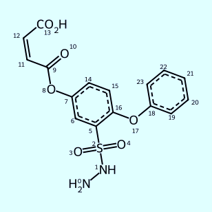 NNS(=O)(=O)c1cc(OC(=O)/C=C\C(=O)O)ccc1Oc1ccccc1